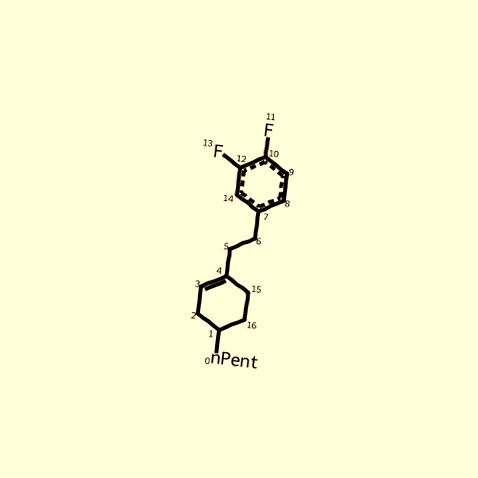 CCCCCC1CC=C(CCc2ccc(F)c(F)c2)CC1